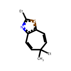 CCc1nc2c(s1)C=CC(C)(CC)C=C2